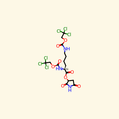 O=C1CC(OC(=O)[C@H](CCCCNC(=O)OCC(Cl)(Cl)Cl)NC(=O)OCC(Cl)(Cl)Cl)C(=O)N1